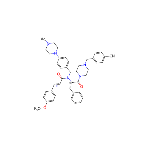 CC(=O)N1CCN(c2ccc(CN(C(=O)/C=C/c3ccc(OC(F)(F)F)cc3)[C@@H](Cc3ccccc3)C(=O)N3CCN(Cc4ccc(C#N)cc4)CC3)cc2)CC1